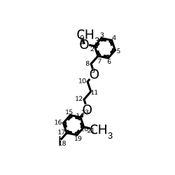 COc1ccccc1COCCCOc1ccc(I)cc1C